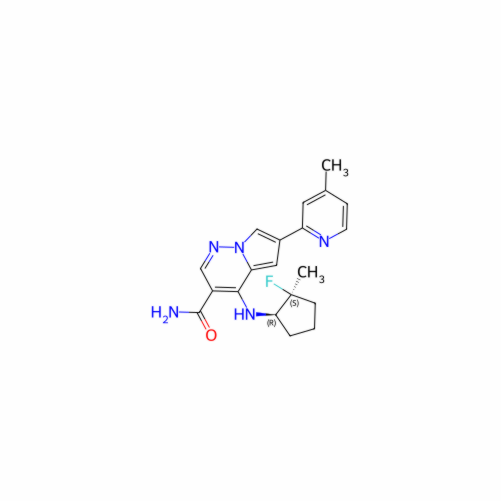 Cc1ccnc(-c2cc3c(N[C@@H]4CCC[C@]4(C)F)c(C(N)=O)cnn3c2)c1